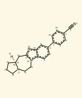 N#Cc1ccc(-c2ccc3c(c2)nc2n3CCN3CCC[C@H]3C2)cn1